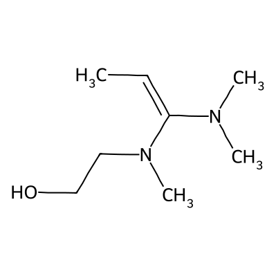 CC=C(N(C)C)N(C)CCO